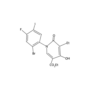 CCOC(=O)c1cn(-c2cc(I)c(F)cc2Br)c(=O)c(CC)c1O